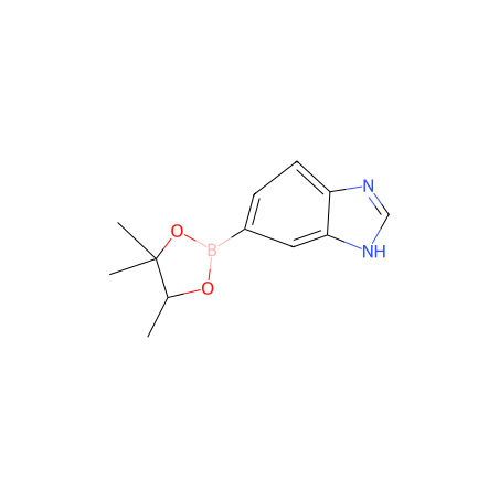 CC1OB(c2ccc3nc[nH]c3c2)OC1(C)C